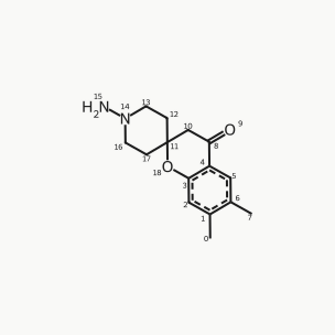 Cc1cc2c(cc1C)C(=O)CC1(CCN(N)CC1)O2